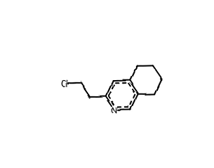 ClCCc1cc2c(cn1)CCCC2